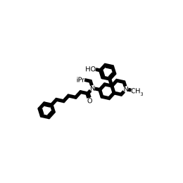 CC(C)CN(C(=O)CCCCCc1ccccc1)C1CCC2CN(C)CCC2(c2cccc(O)c2)C1